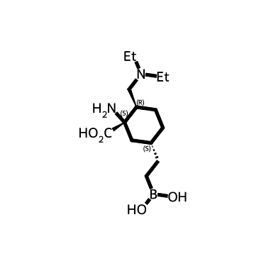 CCN(CC)C[C@H]1CC[C@H](CCB(O)O)C[C@@]1(N)C(=O)O